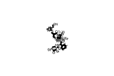 CCN1CCN(C(=O)NC(C(=O)N[C@]2(SC)C(=O)N3C(C(=O)O)=C(CSc4nnnn4CCO)CS[C@@H]32)c2ccccc2)C(=O)C1=O